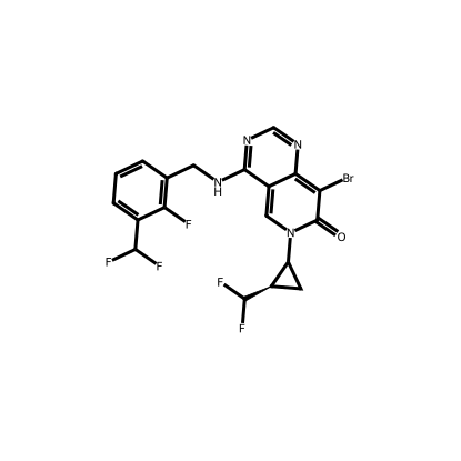 O=c1c(Br)c2ncnc(NCc3cccc(C(F)F)c3F)c2cn1C1C[C@H]1C(F)F